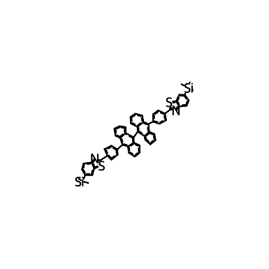 C[Si](C)(C)c1ccc2nc(-c3ccc(-c4c5ccccc5c(-c5c6ccccc6c(-c6ccc(-c7nc8ccc([Si](C)(C)C)cc8s7)cc6)c6ccccc56)c5ccccc45)cc3)sc2c1